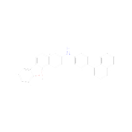 c1ccc2c(-c3ccc(Nc4ccc5c(ccc6c7ccccc7oc56)c4)cc3)cccc2c1